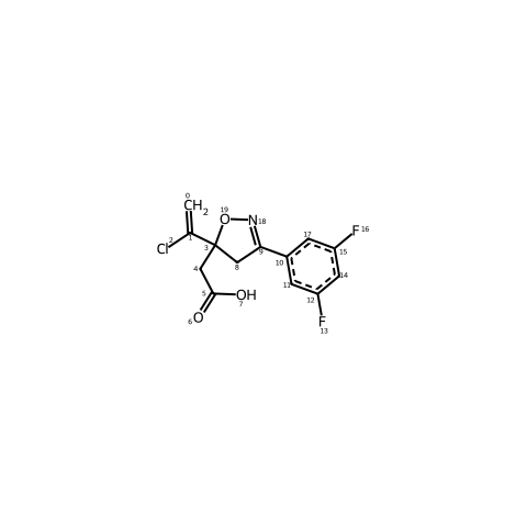 C=C(Cl)C1(CC(=O)O)CC(c2cc(F)cc(F)c2)=NO1